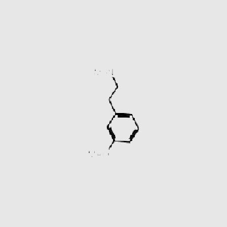 [CH]NCCc1cccc(OC)c1